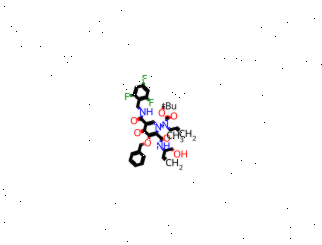 C=CC(CO)NC(=O)c1c(OCc2ccccc2)c(=O)c(C(=O)NCc2c(F)cc(F)cc2F)cn1N(C(=O)OC(C)(C)C)C(C)C=C